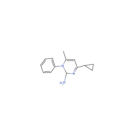 CC1=CC(C2CC2)=NC(N)N1c1ccccc1